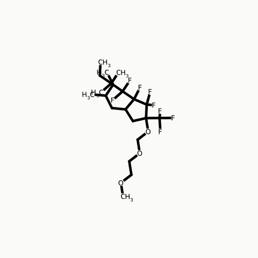 CCC(C)CC1CC(OCOCCOC)(C(F)(F)F)C(F)(F)C1(F)C(F)(F)C(C)(C)CC